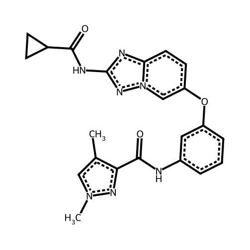 Cc1cn(C)nc1C(=O)Nc1cccc(Oc2ccc3nc(NC(=O)C4CC4)nn3c2)c1